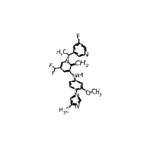 C=C1C(Nc2ccc(-n3cnc(C)c3)c(OC)c2)=CC(C(F)F)=CN1[C@@H](C)c1cncc(F)c1